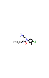 CCOC(=O)/C=C/C(=O)N(CCCN(C)C)c1ccc(Cl)c(C)c1